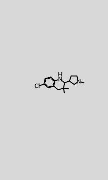 CN1CC[C](C2Nc3ccc(Cl)cc3CC2(C)C)C1